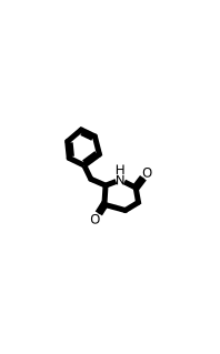 O=C1CCC(=O)C(Cc2ccccc2)N1